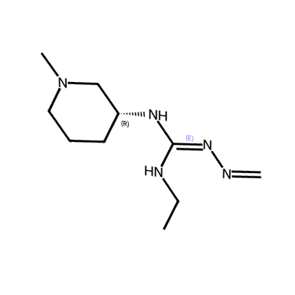 C=N/N=C(\NCC)N[C@@H]1CCCN(C)C1